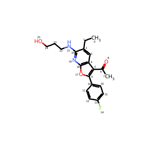 CCc1cc2c(C(C)=O)c(-c3ccc(F)cc3)oc2nc1NCCCO